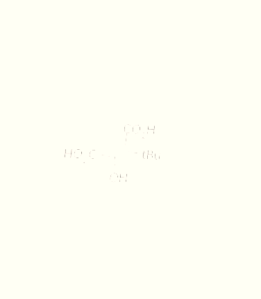 CC(C)(C)C(C(=O)O)C(O)C(=O)O